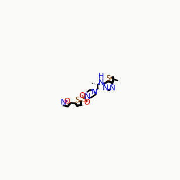 Cc1csc2c(N[C@@H](C)CN3CCN(S(=O)(=O)c4ccc(-c5ccno5)s4)CC3)ncnc12